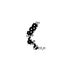 CC1(C)C(O)CCC2(C)C1CCC1(C)C3CCC4(C(=O)NCCc5cccc(C(=O)NCC6COCC(C(=O)O)O6)c5)CCCC4C3CCC12